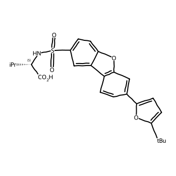 CC(C)[C@H](NS(=O)(=O)c1ccc2oc3cc(-c4ccc(C(C)(C)C)o4)ccc3c2c1)C(=O)O